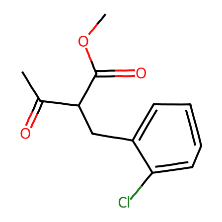 COC(=O)C(Cc1ccccc1Cl)C(C)=O